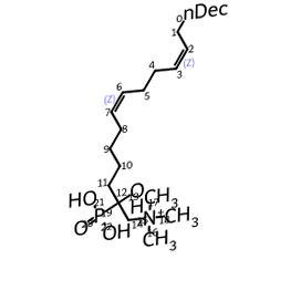 CCCCCCCCCCC/C=C\CC/C=C\CCCCC(O)(C[N+](C)(C)C)P(=O)(O)O